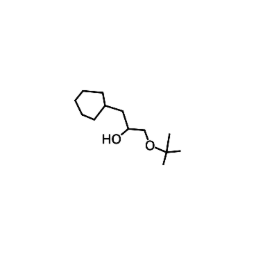 CC(C)(C)OCC(O)CC1CCCCC1